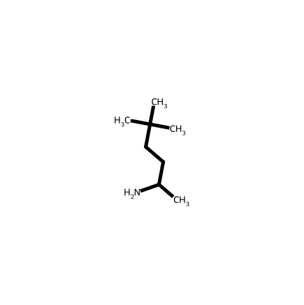 CC(N)CCC(C)(C)C